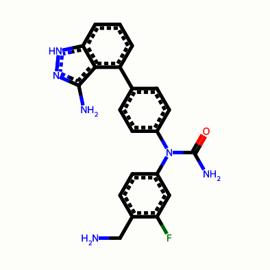 NCc1ccc(N(C(N)=O)c2ccc(-c3cccc4[nH]nc(N)c34)cc2)cc1F